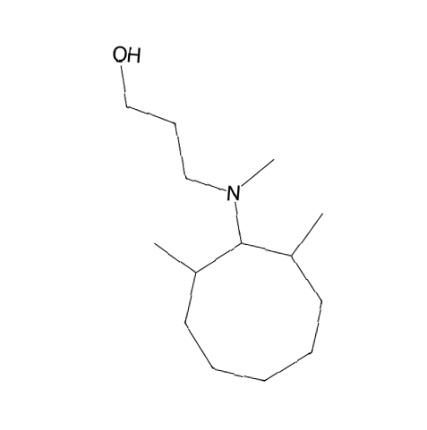 CC1CCCCCC(C)C1N(C)CCCO